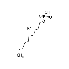 CCCCCCCCCCOP(=O)([O-])O.[K+]